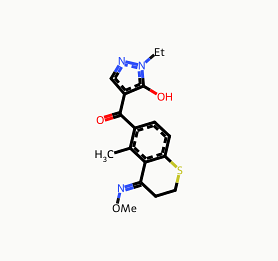 CCn1ncc(C(=O)c2ccc3c(c2C)C(=NOC)CCS3)c1O